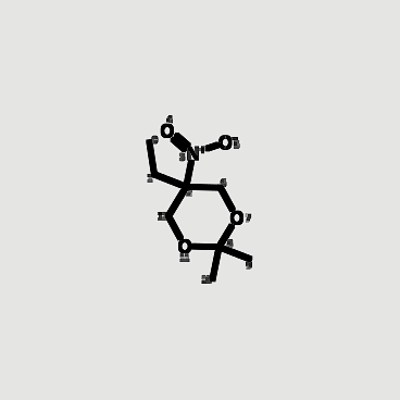 CCC1([N+](=O)[O-])COC(C)(C)OC1